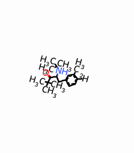 [2H]c1ccc(CC(NC(C)(C)C)C(=O)C(C)(C)C)cc1C